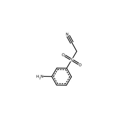 N#CCS(=O)(=O)c1cccc(N)c1